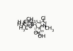 Cn1cc(Cl)c2cc(B3OC(C)(C)C(C)(C)O3)cc(CC(=O)O)c21